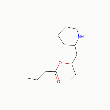 CCCC(=O)OC(CC)CC1CCCCN1